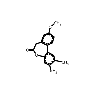 COc1ccc2c(c1)CC(=O)Oc1cc(N)c(C)cc1-2